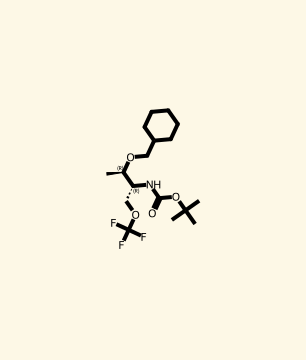 C[C@@H](OCC1CCCCC1)[C@@H](COC(F)(F)F)NC(=O)OC(C)(C)C